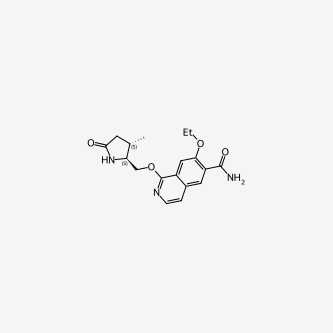 CCOc1cc2c(OC[C@H]3NC(=O)C[C@@H]3C)nccc2cc1C(N)=O